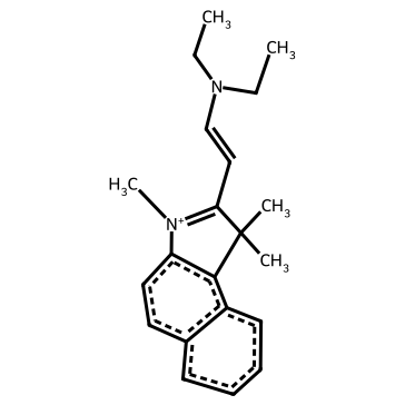 CCN(C=CC1=[N+](C)c2ccc3ccccc3c2C1(C)C)CC